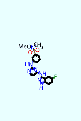 CON(C)S(=O)(=O)c1cccc(Nc2nccc(Nc3n[nH]c4ccc(F)cc34)n2)c1